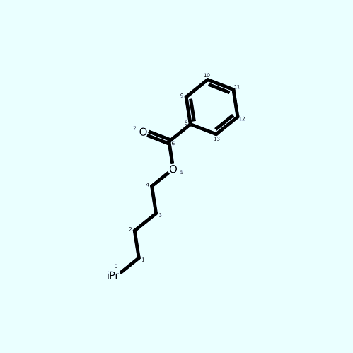 CC(C)CCCCOC(=O)c1ccccc1